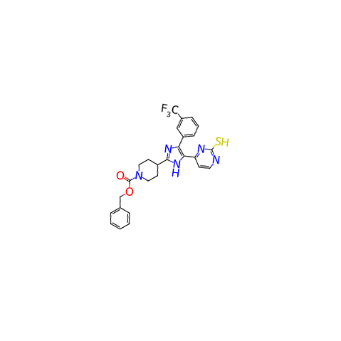 O=C(OCc1ccccc1)N1CCC(c2nc(-c3cccc(C(F)(F)F)c3)c(-c3ccnc(S)n3)[nH]2)CC1